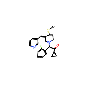 CC(=O)SC1CCN(C(C(=O)C2CC2)c2ccccc2F)C/C1=C\c1cccnc1